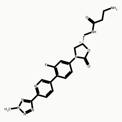 Cn1nnc(-c2ccc(-c3ccc(N4C[C@H](CNC(=O)CCN)OC4=O)cc3F)cn2)n1